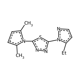 CCc1ccnn1-c1nnc(-n2c(C)ccc2C)s1